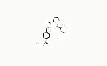 CC(C)CC(N)C(=O)N1CCC[C@H]1C(=O)NCc1ccc(C(=N)N)cc1.Cl